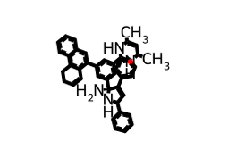 CC1=CC(C)NC(c2cc(-c3cc4ccccc4c4c3C=CCC4)cc([C@@]3(N)NC(c4ccccc4)C=C3c3ccccc3)c2)N1